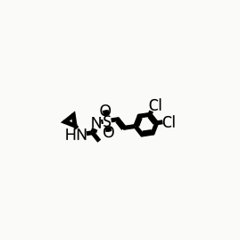 C/C(=N\S(=O)(=O)/C=C/c1ccc(Cl)c(Cl)c1)NC1CC1